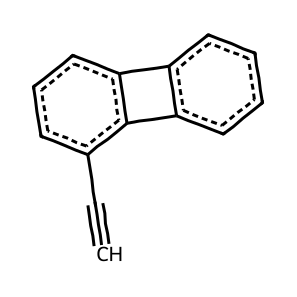 C#Cc1cccc2c1-c1ccccc1-2